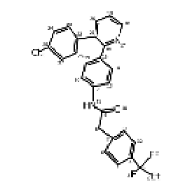 CCC(F)(F)c1ccc(CC(=O)Nc2ccc(-c3ncccc3-c3ccc(Cl)cc3)cc2)cc1